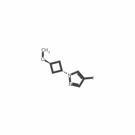 CO[C@H]1C[C@H](n2cc(I)cn2)C1